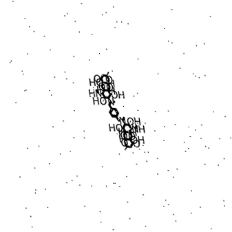 CN[C@H]1[C@@H](O)[C@@H](N(C)Cc2ccc(CN(C)[C@@H]3[C@H](O)[C@H](NC)[C@H]4O[C@@]5(O)C(=O)C[C@@H](C)O[C@H]5O[C@@H]4[C@H]3O)cc2)[C@H](O)[C@H]2O[C@@H]3O[C@H](C)CC(=O)[C@]3(O)O[C@H]12